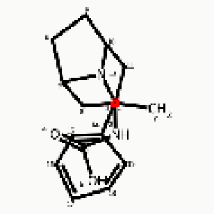 CC1(NC(=O)O)CC2CCC(C1)N2Cc1ccccc1